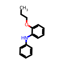 CCCOc1ccccc1Nc1ccccc1